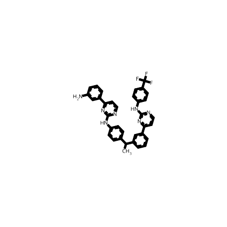 CC(c1ccc(Nc2nccc(-c3cccc(N)c3)n2)cc1)c1cccc(-c2ccnc(Nc3ccc(C(F)(F)F)cc3)n2)c1